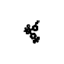 CC1(C)OC(c2ccc(S(C)(=O)=O)cc2)=C(c2cccc(CF)c2)C1=O